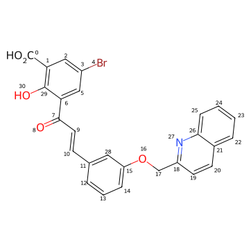 O=C(O)c1cc(Br)cc(C(=O)C=Cc2cccc(OCc3ccc4ccccc4n3)c2)c1O